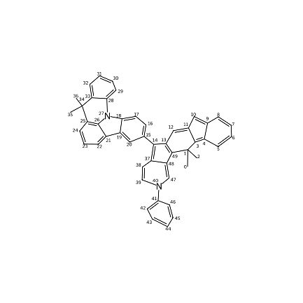 CC1(C)C2=c3ccccc3=CC2=Cc2c(-c3ccc4c(c3)c3cccc5c3n4-c3ccccc3C5(C)C)c3ccn(-c4ccccc4)cc-3c21